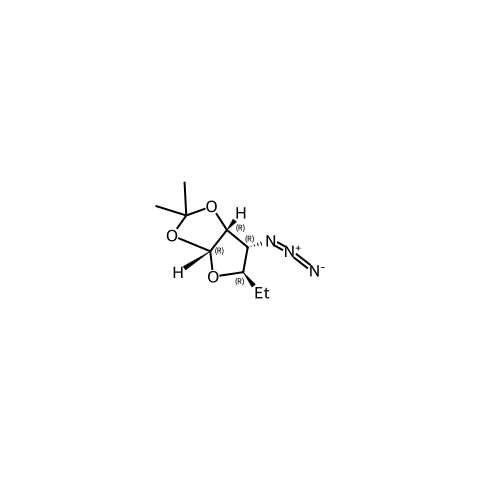 CC[C@H]1O[C@@H]2OC(C)(C)O[C@@H]2[C@@H]1N=[N+]=[N-]